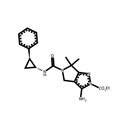 CCOC(=O)n1nc2c(c1N)CN(C(=O)N[C@@H]1C[C@H]1c1ccccc1)C2(C)C